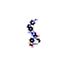 C/C=C\Cn1c(=O)c2cnc(Nc3ccc4c(ccn4C4CCN(C(C)C)CC4)c3)nc2n1-c1ccc2c(c1)N(CCC)C(=O)CO2